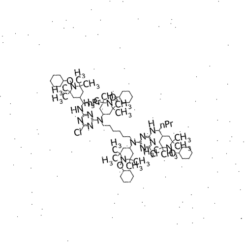 CCCC(Nc1nc(Cl)nc(N(CCCCCCN(c2nc(Cl)nc(NC(CCC)C3CC(C)(C)N(OC4CCCCC4)C(C)(C)C3)n2)C2CC(C)(C)N(OC3CCCCC3)C(C)(C)C2)C2CC(C)(C)N(OC3CCCCC3)C(C)(C)C2)n1)C1CC(C)(C)N(OC2CCCCC2)C(C)(C)C1